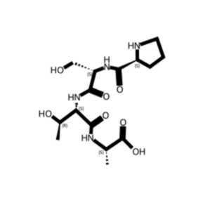 C[C@H](NC(=O)[C@@H](NC(=O)[C@H](CO)NC(=O)[C@@H]1CCCN1)[C@@H](C)O)C(=O)O